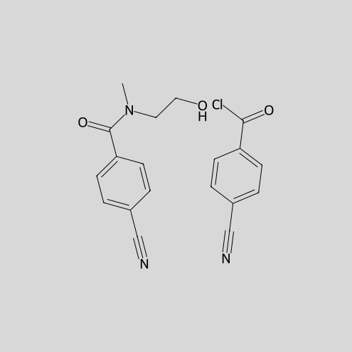 CN(CCO)C(=O)c1ccc(C#N)cc1.N#Cc1ccc(C(=O)Cl)cc1